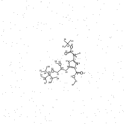 CCOC(=O)c1nc(N(C)C(=O)OC(C)(C)C)sc1CC(CO[Si](C(C)C)(C(C)C)C(C)C)OC